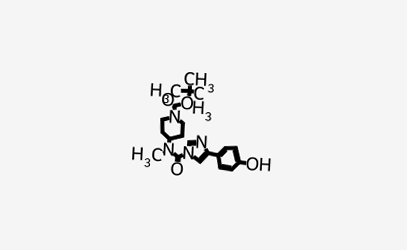 CN(C(=O)n1cnc(-c2ccc(O)cc2)c1)C1CCN(C(=O)OC(C)(C)C)CC1